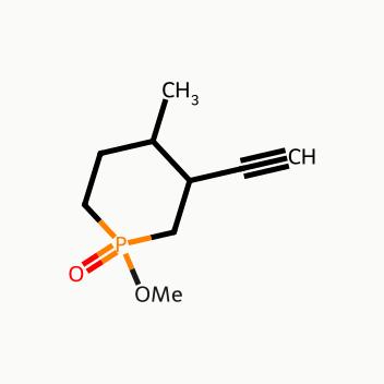 C#CC1CP(=O)(OC)CCC1C